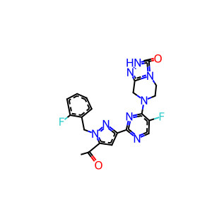 CC(=O)c1cc(-c2ncc(F)c(N3CCn4c(n[nH]c4=O)C3)n2)nn1Cc1ccccc1F